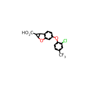 O=C(O)C1C2Oc3cc(Oc4ccc(C(F)(F)F)cc4Cl)ccc3C21